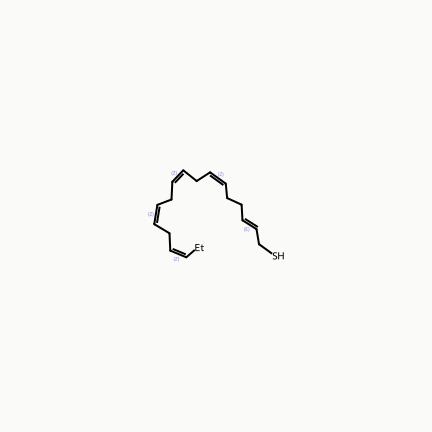 CC/C=C\C/C=C\C/C=C\C/C=C\CC/C=C/CS